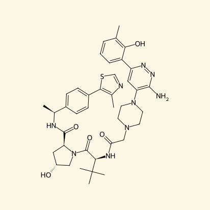 Cc1cccc(-c2cc(N3CCN(CC(=O)N[C@H](C(=O)N4C[C@H](O)C[C@H]4C(=O)N[C@@H](C)c4ccc(-c5scnc5C)cc4)C(C)(C)C)CC3)c(N)nn2)c1O